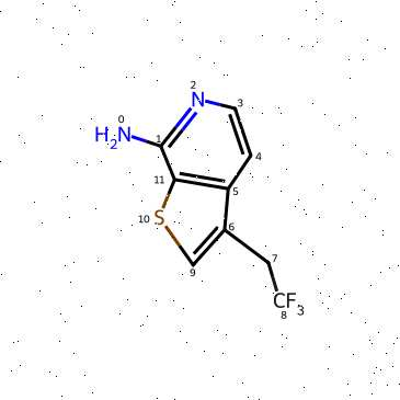 Nc1nccc2c(CC(F)(F)F)csc12